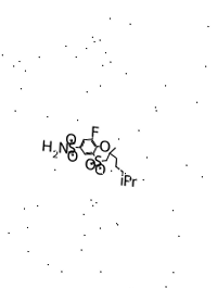 CC(C)CCCC1(C)CS(=O)(=O)c2cc(S(N)(=O)=O)cc(F)c2O1